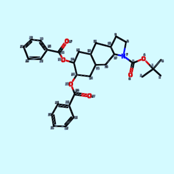 CC(C)(C)OC(=O)N1CCC2CC3CC(OC(=O)c4ccccc4)C(OC(=O)c4ccccc4)CC3CC21